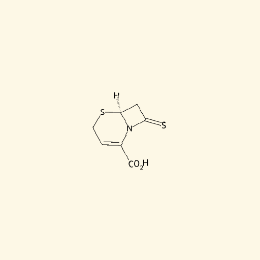 O=C(O)C1=CCS[C@H]2CC(=S)N12